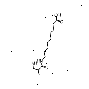 CC(CS)C(=O)NCCCCCCCCC(=O)O